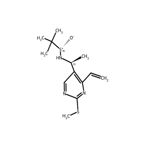 C=Cc1nc(SC)ncc1[C@H](C)N[S@@+]([O-])C(C)(C)C